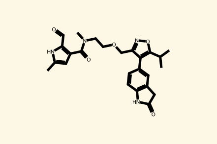 Cc1cc(C(=O)N(C)CCOCc2noc(C(C)C)c2-c2ccc3c(c2)CC(=O)N3)c(C=O)[nH]1